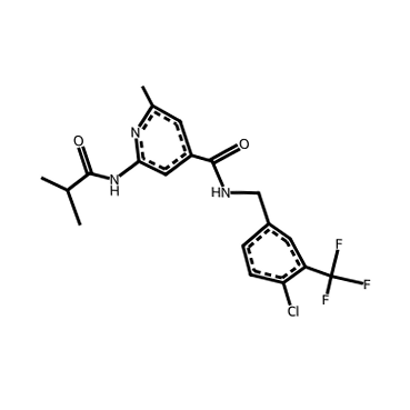 Cc1cc(C(=O)NCc2ccc(Cl)c(C(F)(F)F)c2)cc(NC(=O)C(C)C)n1